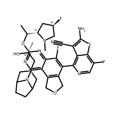 CC(Oc1nc(N2C3CCC2CN(C[C@@H](C)O)C3)c2c3c(c(-c4ncc(F)c5sc(N)c(C#N)c45)c(F)c2n1)COC3)[C@@H]1C[C@@H](F)CN1C